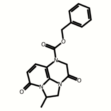 CC1CN2C(=O)CN(C(=O)OCc3ccccc3)c3ccc(=O)n1c32